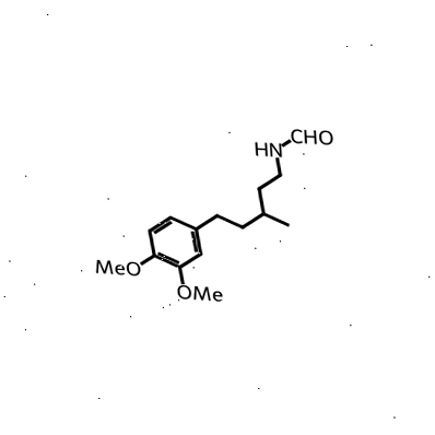 COc1ccc(CCC(C)CCNC=O)cc1OC